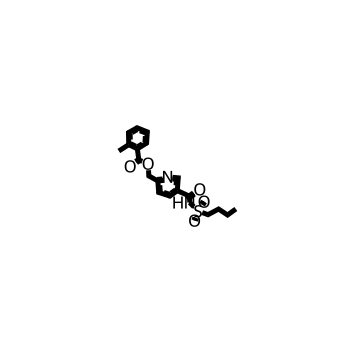 CCCCS(=O)(=O)NC(=O)c1ccc(COC(=O)c2ccccc2C)nc1